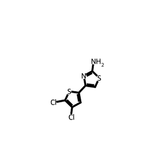 Nc1nc(-c2cc(Cl)c(Cl)s2)cs1